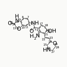 Nc1c(C(=O)Nc2ccc3c(c2)OCC(=O)N3)ccc(O)c1/C=C/C1CNCCO1